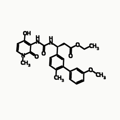 CCOC(=O)C[C@H](NC(=O)Nc1c(O)ccn(C)c1=O)c1ccc(C)c(-c2cccc(OC)c2)c1